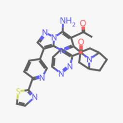 CC(=O)c1c(C2CC3CCC(C2)N3C(=O)c2cccnn2)nc2c(-c3ccc(-c4nccs4)nc3)cnn2c1N